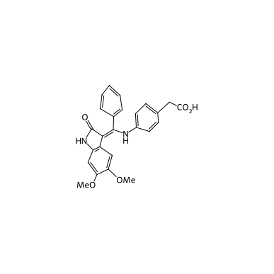 COc1cc2c(cc1OC)C(=C(Nc1ccc(CC(=O)O)cc1)c1ccccc1)C(=O)N2